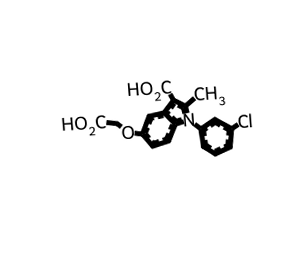 Cc1c(C(=O)O)c2cc(OCC(=O)O)ccc2n1-c1cccc(Cl)c1